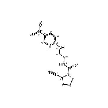 N#CC1CCCN1C(=O)NCCNc1ccc([N+](=O)[O-])cn1